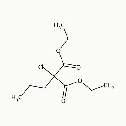 CCCC(Cl)(C(=O)OCC)C(=O)OCC